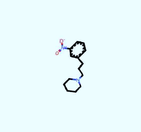 O=[N+]([O-])c1cccc(CCCN2CCCCC2)c1